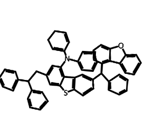 C1=CC(N(c2ccccc2)c2cc(CC(c3ccccc3)c3ccccc3)cc3sc4ccc(C(c5ccccc5)c5cccc6oc7ccccc7c56)cc4c23)=CCC1